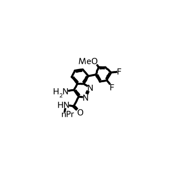 CCCNC(=O)c1nnc2c(-c3cc(F)c(F)cc3OC)cccc2c1N